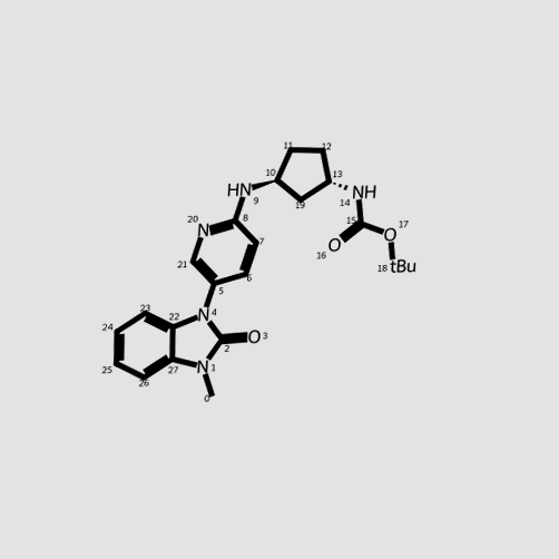 Cn1c(=O)n(-c2ccc(N[C@H]3CC[C@H](NC(=O)OC(C)(C)C)C3)nc2)c2ccccc21